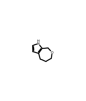 c1cc2c([nH]1)COCCC2